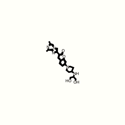 Cc1cn2cc(-c3cc4ccc(N5CCC(NC(CO)CO)CC5)cc4oc3=O)nc2c(C)n1